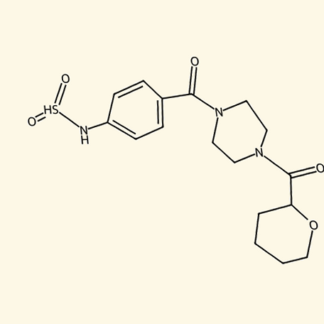 O=C(c1ccc(N[SH](=O)=O)cc1)N1CCN(C(=O)C2CCCCO2)CC1